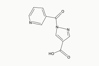 O=C(O)c1cnn(C(=O)c2cccnc2)c1